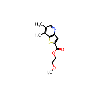 COCCOC(=O)c1cc2ncc(C)c(C)c2s1